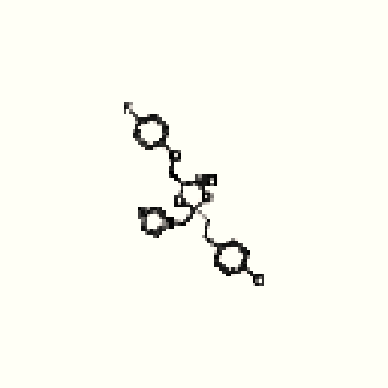 Cl.Fc1ccc(OC[C@H]2CO[C@@](CCc3ccc(Cl)cc3)(Cn3ccnc3)O2)cc1